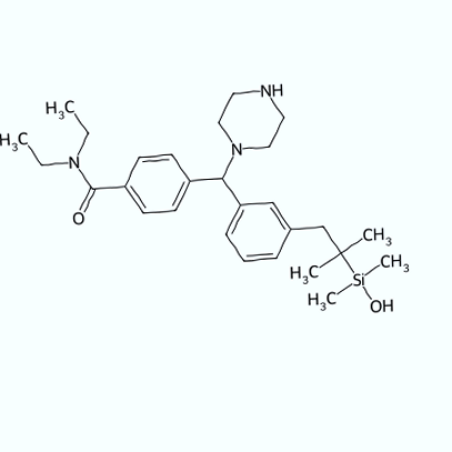 CCN(CC)C(=O)c1ccc(C(c2cccc(CC(C)(C)[Si](C)(C)O)c2)N2CCNCC2)cc1